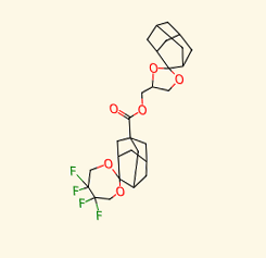 O=C(OCC1COC2(O1)C1CC3CC(C1)CC2C3)C12CC3CC(C1)C1(OCC(F)(F)C(F)(F)CO1)C(C3)C2